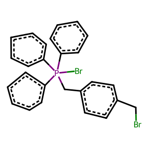 BrCc1ccc(CP(Br)(c2ccccc2)(c2ccccc2)c2ccccc2)cc1